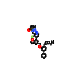 CC(C)(C)[S@+]([O-])NCc1nccc(-c2cc(COc3cc(-c4ccccc4)ccc3CC(=O)O)cc3ccoc23)c1F